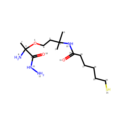 CC(C)(CCOC(C)(N)C(=O)NN)NC(=O)CCCCCS